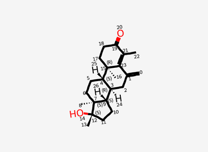 C=C1C[C@@H]2[C@H](CC[C@@]3(C)[C@H]2CC[C@]3(C)O)[C@@]2(C)CCC(=O)C(C)=C12